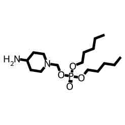 CCCCCOP(=O)(OCCCCC)OCN1CCC(N)CC1